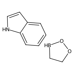 B1CCOO1.c1ccc2[nH]ccc2c1